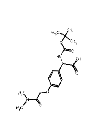 CN(C)C(=O)COc1ccc([C@H](NC(=O)OC(C)(C)C)C(=O)O)cc1